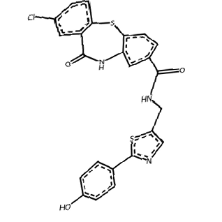 O=C(NCc1cnc(-c2ccc(O)cc2)s1)c1ccc2c(c1)NC(=O)c1cc(Cl)ccc1S2